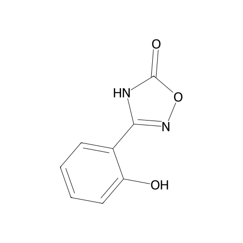 O=c1[nH]c(-c2ccccc2O)no1